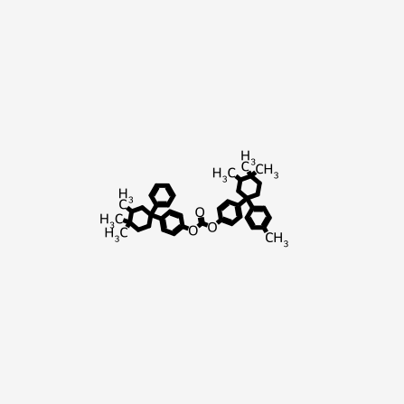 Cc1ccc(C2(c3ccc(OC(=O)Oc4ccc(C5(c6ccccc6)CCC(C)(C)C(C)C5)cc4)cc3)CCC(C)(C)C(C)C2)cc1